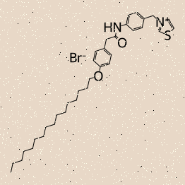 CCCCCCCCCCCCCCCCOc1ccc(CC(=O)Nc2ccc(C[n+]3ccsc3)cc2)cc1.[Br-]